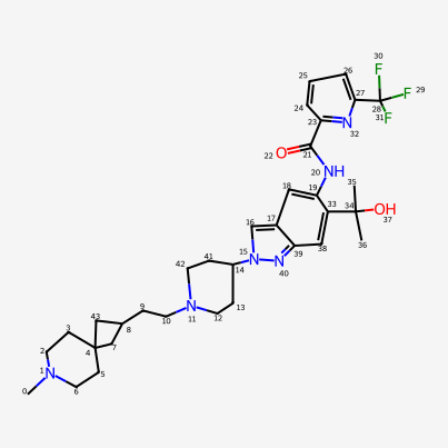 CN1CCC2(CC1)CC(CCN1CCC(n3cc4cc(NC(=O)c5cccc(C(F)(F)F)n5)c(C(C)(C)O)cc4n3)CC1)C2